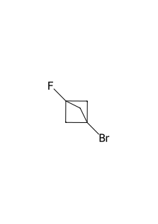 FC12CC(Br)(C1)C2